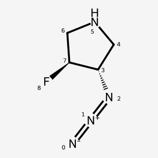 [N-]=[N+]=N[C@H]1CNC[C@@H]1F